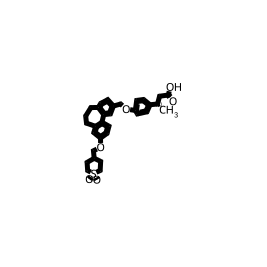 C[C@H](CC(=O)O)c1ccc(OCc2ccc3c(c2)-c2ccc(OCC4CCS(=O)(=O)CC4)cc2CCC3)cc1